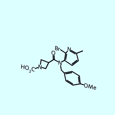 COc1ccc(CN(C(=O)C2CN(C(=O)O)C2)c2ccc(C)nc2Br)cc1